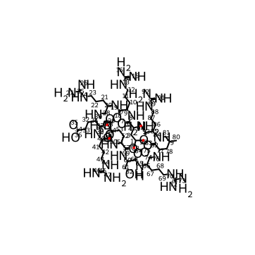 CC(C)CC(N)C(=O)NC(CCCNC(=N)N)C(=O)NC(CCCNC(=N)N)C(=O)NC(CCC(=O)O)C(=O)NC(CCCNC(=N)N)C(=O)NC(CCC(N)=O)C(=O)NC(CO)C(=O)NC(CCCNC(=N)N)C(=O)NC(CC(C)C)C(=O)NC(CCCNC(=N)N)C(N)=O